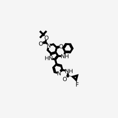 CC(C)(C)OC(=O)N1CC(=O)c2c([nH]c(-c3ccnc(NC(=O)[C@@H]4C[C@@H]4F)c3)c2Nc2ccccc2)C1